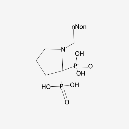 CCCCCCCCCCN1CCCC1(P(=O)(O)O)P(=O)(O)O